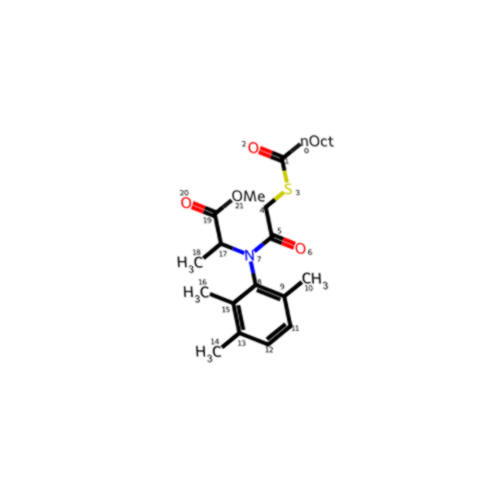 CCCCCCCCC(=O)SCC(=O)N(c1c(C)ccc(C)c1C)C(C)C(=O)OC